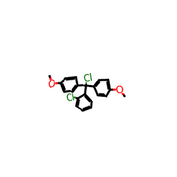 COc1ccc(C(Cl)(c2ccc(OC)cc2)c2ccccc2Cl)cc1